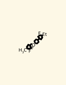 CCc1ccc(C2CCC(OCc3ccc(C)c(F)c3F)CC2)cc1F